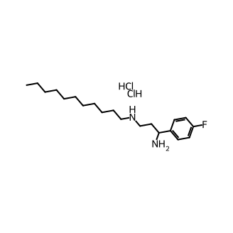 CCCCCCCCCCCNCCC(N)c1ccc(F)cc1.Cl.Cl